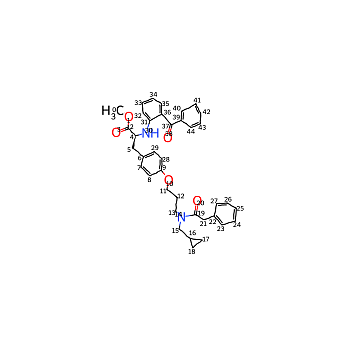 COC(=O)[C@H](Cc1ccc(OCCCN(CC2CC2)C(=O)Cc2ccccc2)cc1)Nc1ccccc1C(=O)c1ccccc1